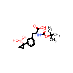 CC(C)(C)OC(=O)NC(Cc1cccc(C2(B(O)O)CC2)c1)C(=O)O